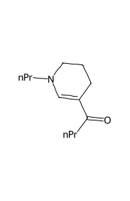 CCCC(=O)C1=CN(CCC)CCC1